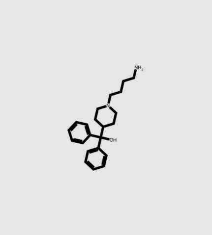 NCCCCN1CCC(C(O)(c2ccccc2)c2ccccc2)CC1